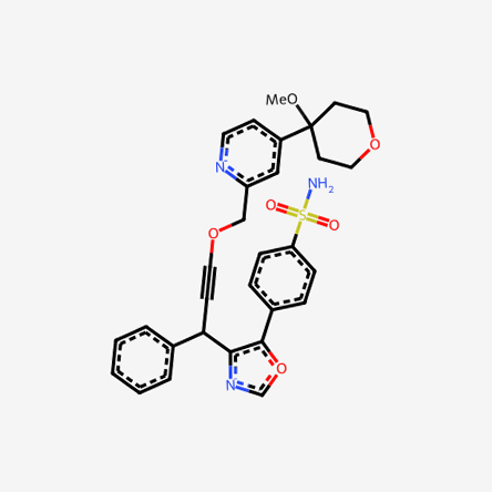 COC1(c2ccnc(COC#CC(c3ccccc3)c3ncoc3-c3ccc(S(N)(=O)=O)cc3)c2)CCOCC1